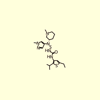 CCc1cc(NC(=O)NSN(c2cnn(C)c2)[C@H]2CCCN(C)C2)c(C(C)C)s1